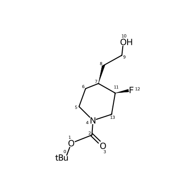 CC(C)(C)OC(=O)N1CC[C@@H](CCO)[C@@H](F)C1